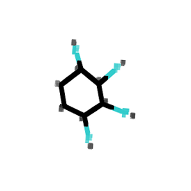 FC1[CH]CC(F)C(F)C1F